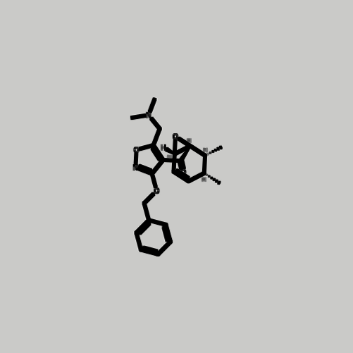 C[C@@H]1C=C[C@@H]2O[C@]2(C(=O)c2c(OCc3ccccc3)noc2CN(C)C)[C@@H]1C